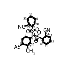 CC(=O)c1ccc(N(S(=O)(=O)c2ccccc2C#N)S(=O)(=O)c2ccccc2C#N)cc1C